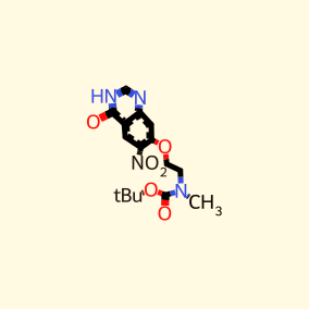 CN(CCOc1cc2nc[nH]c(=O)c2cc1[N+](=O)[O-])C(=O)OC(C)(C)C